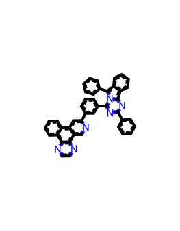 c1ccc(-c2nc(-c3cccc(-c4cc5c6ccccc6c6nccnc6c5cn4)c3)n3c(-c4ccccc4)c4ccccc4c3n2)cc1